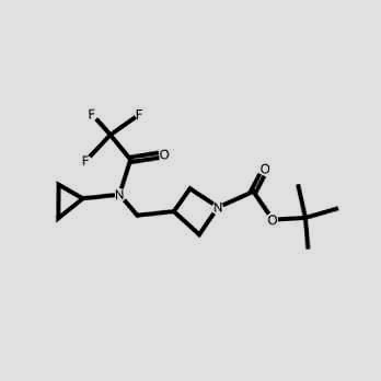 CC(C)(C)OC(=O)N1CC(CN(C(=O)C(F)(F)F)C2CC2)C1